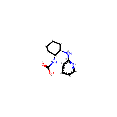 O=C(O)N[C@@H]1CCCC[C@H]1Nc1ccccn1